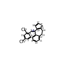 Clc1ccc(/C=C2\c3ccccc3CCc3sccc32)c(Cl)c1